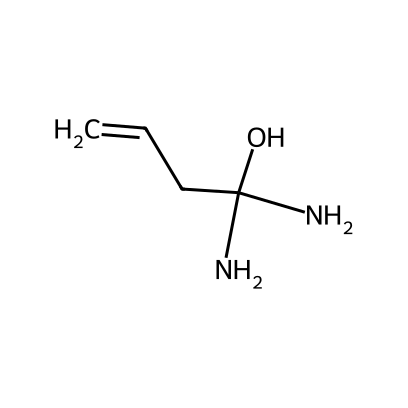 C=CCC(N)(N)O